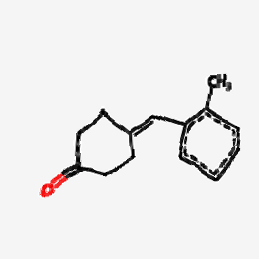 Cc1ccccc1C=C1CCC(=O)CC1